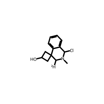 [2H]C1N(C)C(Cl)c2ccccc2C12CC(O)C2